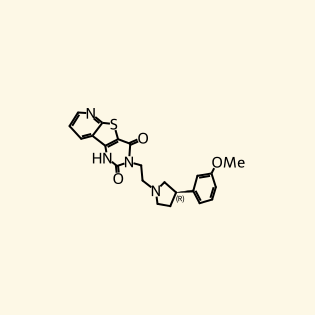 COc1cccc([C@H]2CCN(CCn3c(=O)[nH]c4c(sc5ncccc54)c3=O)C2)c1